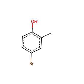 [CH2]c1cc(Br)ccc1O